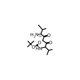 CC(C)C(NC(=O)OC(C)(C)C)C(=O)CC(=O)[C@@H](N)C(C)C